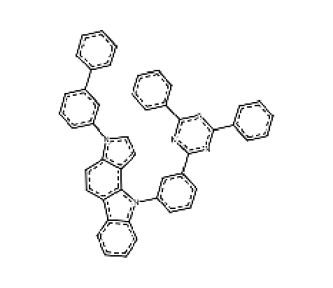 c1ccc(-c2cccc(-n3ccc4c3ccc3c5ccccc5n(-c5cccc(-c6nc(-c7ccccc7)nc(-c7ccccc7)n6)c5)c34)c2)cc1